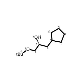 CC(C)(C)OC[C@H](O)CC1CCCC1